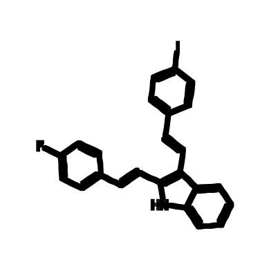 Fc1ccc(/C=C/c2[nH]c3ccccc3c2/C=C/c2ccc(I)cc2)cc1